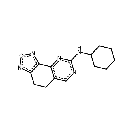 c1nc(NC2CCCCC2)nc2c1CCc1nonc1-2